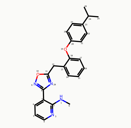 CNc1ncccc1-c1noc(Cc2ccccc2Oc2ccc(C(C)C)cc2)n1